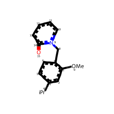 COc1cc(C(C)C)ccc1Cn1ccccc1=O